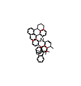 CC1C=CC(N(c2ccccc2-c2cccc3c2oc2ccccc23)c2ccccc2-c2cccc3cccc(C4CCCCC4)c23)=C2c3ccccc3C(C)(C)C21